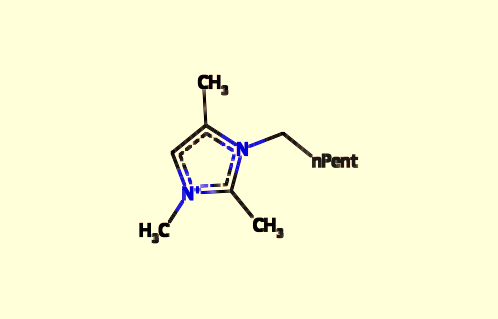 CCCCCCn1c(C)c[n+](C)c1C